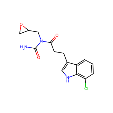 NC(=O)N(CC1CO1)C(=O)CCc1c[nH]c2c(Cl)cccc12